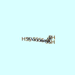 SCSCCSCSCSCSCCSC(S)SCS